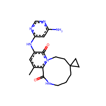 Cc1cc(Nc2cc(N)ncn2)c(=O)n2c1C(=O)NCCCC1(CC2)CC1